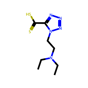 CCN(CC)CCn1nnnc1C(=S)S